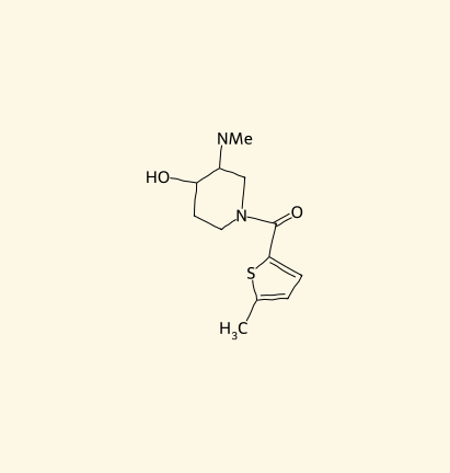 CNC1CN(C(=O)c2ccc(C)s2)CCC1O